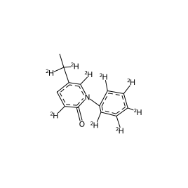 [2H]c1c([2H])c([2H])c(-n2c([2H])c(C([2H])([2H])C)cc([2H])c2=O)c([2H])c1[2H]